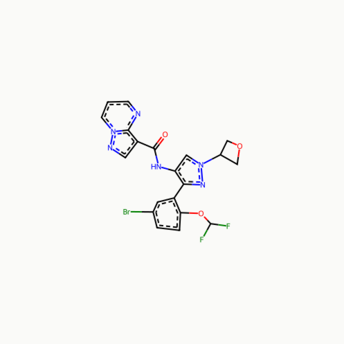 O=C(Nc1cn(C2COC2)nc1-c1cc(Br)ccc1OC(F)F)c1cnn2cccnc12